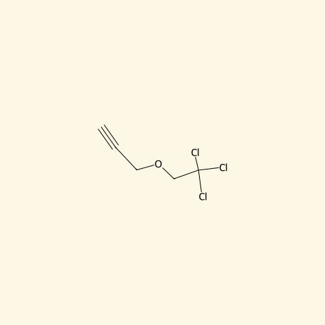 C#CCOCC(Cl)(Cl)Cl